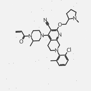 C=CC(=O)N1CCN(c2c(C#N)c(OCC3CCCN3C)nc3c2CCN(c2c(C)cccc2Cl)C3)CC1C